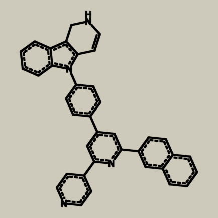 C1=Cc2c(c3ccccc3n2-c2ccc(-c3cc(-c4ccncc4)nc(-c4ccc5ccccc5c4)c3)cc2)CN1